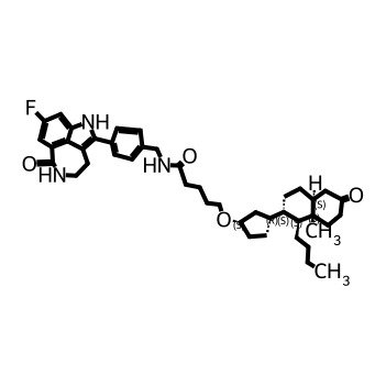 CCCC[C@H]1[C@H]([C@@H]2CC[C@H](OCCCCC(=O)NCc3ccc(-c4[nH]c5cc(F)cc6c5c4CCNC6=O)cc3)C2)CC[C@H]2CC(=O)CC[C@@]21C